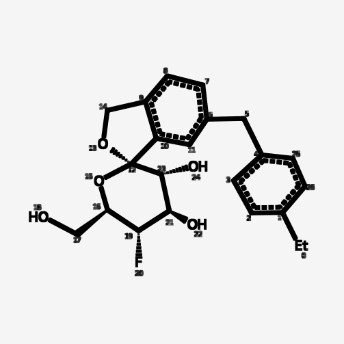 CCc1ccc(Cc2ccc3c(c2)[C@]2(OC3)O[C@H](CO)[C@@H](F)[C@H](O)[C@H]2O)cc1